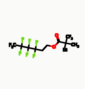 CCC(C)(C(=O)OCCC(F)(F)C(F)(F)C(F)(F)C(F)(F)F)C(F)(F)F